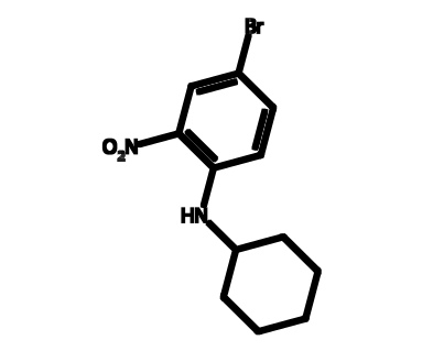 O=[N+]([O-])c1cc(Br)ccc1NC1CCCCC1